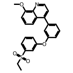 CCS(=O)(=O)c1cccc(Oc2cccc(-c3ccnc4c(OC)cccc34)c2)c1